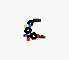 CCCCOc1ccc(C(=O)N(C)c2ccc(N3CCC(NC)C3)c(F)c2)cc1